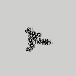 CC(=O)O.CC(=O)O.CC(=O)O.CC(=O)OC[C@H]1CC[C@@H](c2ccccc2C(c2ccccc2)c2ccccc2)[C@@H](c2ccc(Cl)c(Cc3ccc(OC4CCOC4)cc3)c2)O1